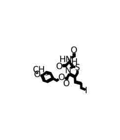 COc1ccc(COC(=O)C2=C(/C=C/CI)CS[C@@H]3[C@H](NC=O)C(=O)N23)cc1